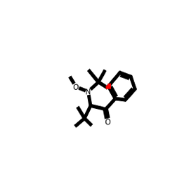 CON(C(C(=O)c1ccccc1)C(C)(C)C)C(C)(C)C